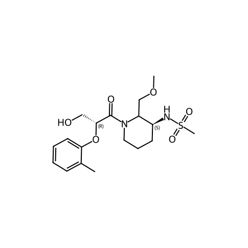 COCC1[C@@H](NS(C)(=O)=O)CCCN1C(=O)[C@@H](CO)Oc1ccccc1C